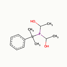 CC(O)P(C(C)O)[Si](C)(C)c1ccccc1